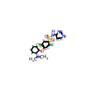 CN(C)[C@@H]1CCCC[C@H]1Oc1cc(F)c(S(=O)(=O)Nc2ccncn2)cc1Cl